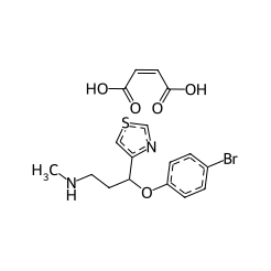 CNCCC(Oc1ccc(Br)cc1)c1cscn1.O=C(O)/C=C\C(=O)O